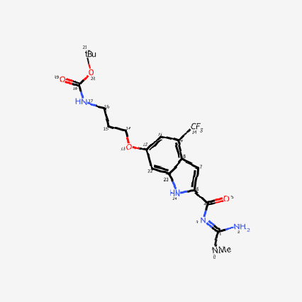 CNC(N)=NC(=O)c1cc2c(C(F)(F)F)cc(OCCCNC(=O)OC(C)(C)C)cc2[nH]1